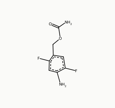 NC(=O)OCc1cc(F)c(N)cc1F